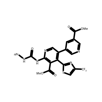 CCCNC(=O)Nc1ncc(-c2cncc(C(=O)OC)c2)c(-c2nc(C(F)(F)F)cs2)c1C(=O)OC